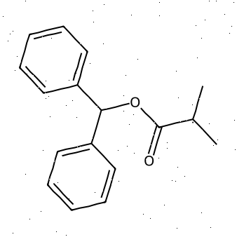 C[C](C)C(=O)OC(c1ccccc1)c1ccccc1